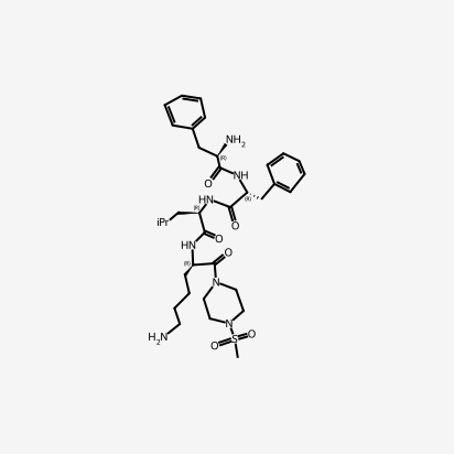 CC(C)C[C@@H](NC(=O)[C@@H](Cc1ccccc1)NC(=O)[C@H](N)Cc1ccccc1)C(=O)N[C@H](CCCCN)C(=O)N1CCN(S(C)(=O)=O)CC1